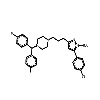 CC(C)(C)n1nc(CCCN2CCN(C(c3ccc(F)cc3)c3ccc(F)cc3)CC2)cc1-c1ccc(Cl)cc1